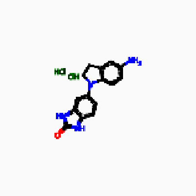 Cl.Cl.Nc1ccc2c(c1)CCN2c1ccc2[nH]c(=O)[nH]c2c1